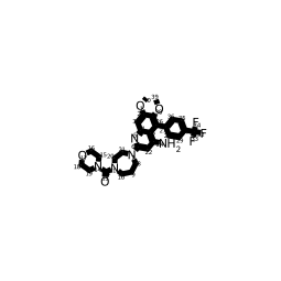 COc1cc2nc(N3CCCN(C(=O)N4CCOCC4)CC3)cc(N)c2c(-c2ccc(C(F)(F)F)cc2)c1OC